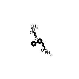 CCOC(=O)CCCOc1ccc(CCCC(=O)OC)cc1-c1ccccc1